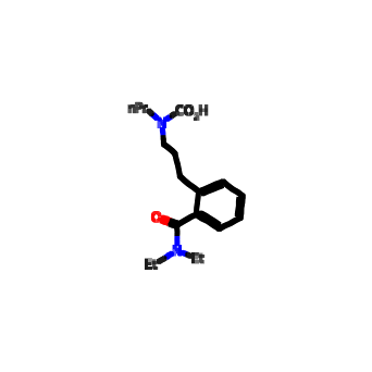 CCCN(CCCc1ccccc1C(=O)N(CC)CC)C(=O)O